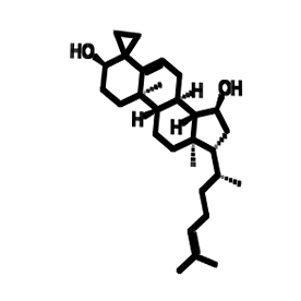 CC(C)=CCC[C@@H](C)[C@H]1C[C@H](O)[C@H]2[C@@H]3CC=C4C5(CC5)[C@H](O)CC[C@]4(C)[C@H]3CC[C@@]21C